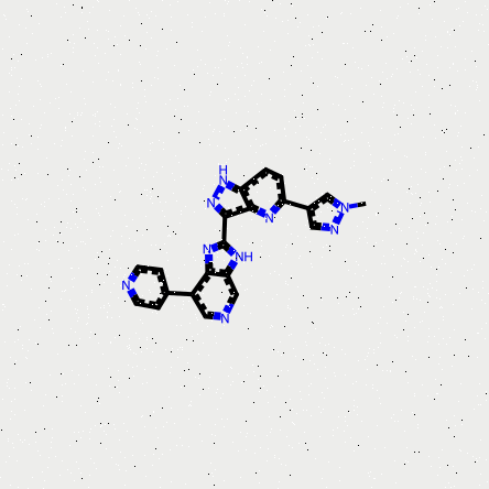 Cn1cc(-c2ccc3[nH]nc(-c4nc5c(-c6ccncc6)cncc5[nH]4)c3n2)cn1